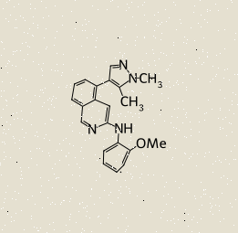 COc1c[c]ccc1Nc1cc2c(-c3cnn(C)c3C)cccc2cn1